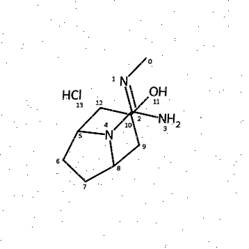 CN=C(N)N1C2CCC1CC(O)C2.Cl